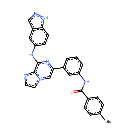 CC(C)(C)c1ccc(C(=O)Nc2cccc(-c3cn4ccnc4c(Nc4ccc5[nH]ncc5c4)n3)c2)cc1